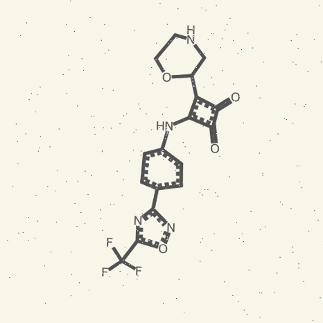 O=c1c(Nc2ccc(-c3noc(C(F)(F)F)n3)cc2)c(C2CNCCO2)c1=O